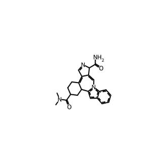 CN(C)C(=O)C1CCC2=C3C=NC(C(N)=O)C3=Cn3c(cc4ccccc43)C2C1